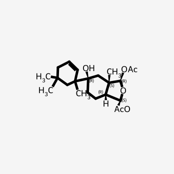 CC(=O)O[C@@H]1O[C@H](OC(C)=O)[C@@]2(C)C[C@@](O)(C3(C)C=CCC(C)(C)C3)CC[C@@H]12